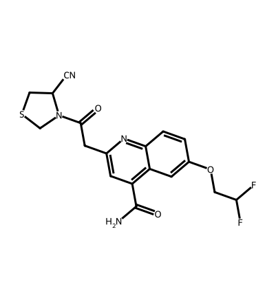 N#CC1CSCN1C(=O)Cc1cc(C(N)=O)c2cc(OCC(F)F)ccc2n1